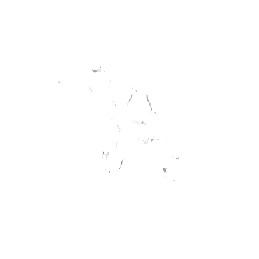 COc1ccc(CNc2ncnc3c2c(-c2ccn(C)n2)cn3-c2cncc(CCl)c2)c(OC)c1